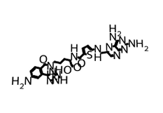 Nc1ccc(C(=O)NCCCC(NC(=O)c2ccc(NCc3cnc4nc(N)nc(N)c4n3)s2)C(=O)O)c(-c2nn[nH]n2)c1